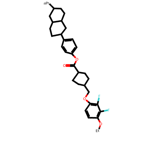 CCCC1CCC2CC(c3ccc(OC(=O)C4CCC(COc5ccc(OCC)c(F)c5F)CC4)cc3)CCC2C1